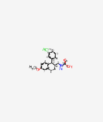 COc1ccc2c(c1)CCC(CNC(=O)O)C2c1ccccc1.Cl